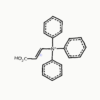 O=C(O)/C=C/[N+](c1ccccc1)(c1ccccc1)c1ccccc1